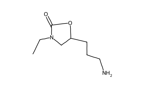 CCN1CC(CCCN)OC1=O